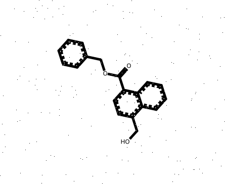 O=C(OCc1ccccc1)c1ccc(CO)c2ccccc12